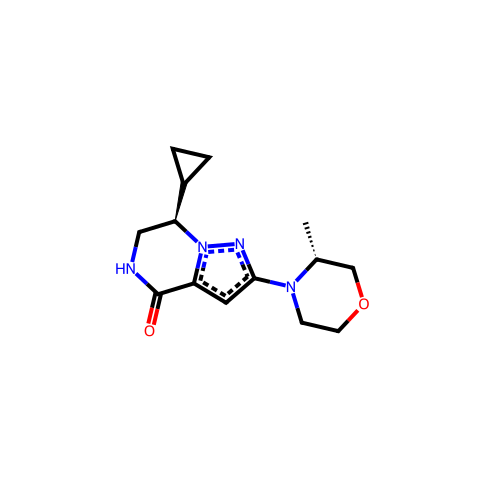 C[C@@H]1COCCN1c1cc2n(n1)[C@H](C1CC1)CNC2=O